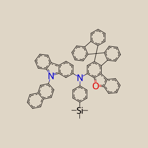 C[Si](C)(C)c1ccc(N(c2ccc3c4ccccc4n(-c4ccc5ccccc5c4)c3c2)c2cc3c(c4c2oc2ccccc24)-c2ccccc2C32c3ccccc3-c3ccccc32)cc1